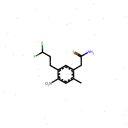 Cc1cc([N+](=O)[O-])c(CCC(F)F)cc1CC(N)=S